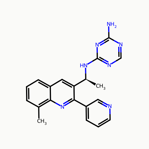 Cc1cccc2cc([C@H](C)Nc3ncnc(N)n3)c(-c3cccnc3)nc12